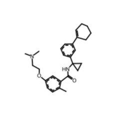 Cc1ccc(OCCN(C)C)cc1C(=O)NC1(c2cccc(C3=CCCCC3)c2)CC1